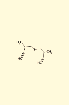 C#CC(C)CSCC(C)C#C